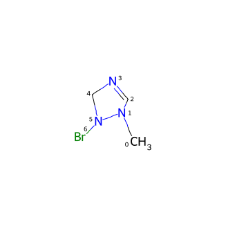 CN1C=NCN1Br